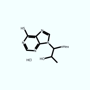 CCCCCCC(C(C)O)n1cnc2c(S)ncnc21.Cl